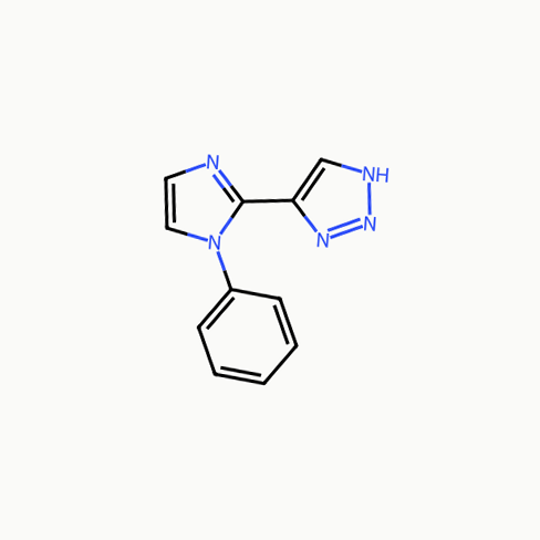 c1ccc(-n2ccnc2-c2c[nH]nn2)cc1